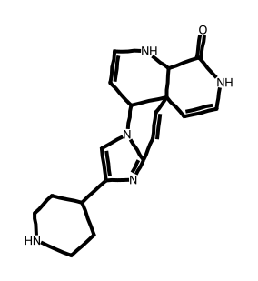 O=C1NC=CC23C=Cc4nc(C5CCNCC5)cn4C2C=CNC13